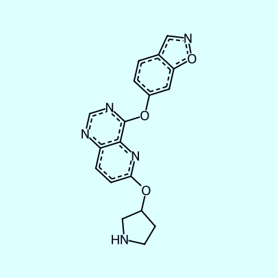 c1nc(Oc2ccc3cnoc3c2)c2nc(OC3CCNC3)ccc2n1